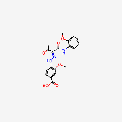 COc1cc(C(=O)O)ccc1N/N=C(\C(C)=O)C(=O)Nc1ccccc1OC